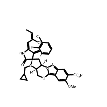 C=C1/C(=C\C(Cl)=C/C)NC(=O)[C@@]12[C@H](c1cccc(Cl)c1F)[C@@H]1[C@@H](COc3c4cc(OC)c(C(=O)O)cc4nn31)N2CC1CC1